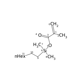 C=C(C)C(=O)O[Si](C)(C)CCCCCCCC